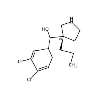 CCC[C@]1(C(O)C2C=C(Cl)C(Cl)=CC2)CCNC1